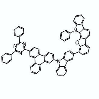 c1ccc(-c2nc(-c3ccccc3)nc(-c3ccc4c5ccc(-n6c7ccccc7c7cc(-c8cccc9c8oc8c9ccc9c%10ccccc%10n(-c%10ccccc%10)c98)ccc76)cc5c5ccccc5c4c3)n2)cc1